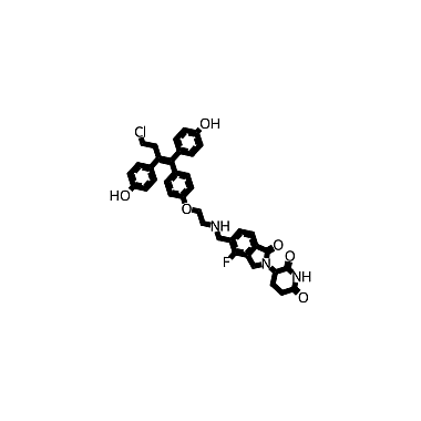 O=C1CCC(N2Cc3c(ccc(CNCCOc4ccc(C(=C(CCCl)c5ccc(O)cc5)c5ccc(O)cc5)cc4)c3F)C2=O)C(=O)N1